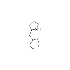 C1CCC(CC2CCCN2)CC1